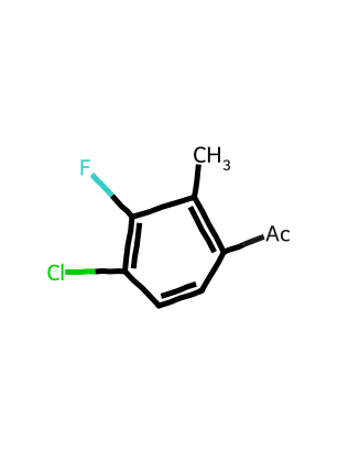 CC(=O)c1ccc(Cl)c(F)c1C